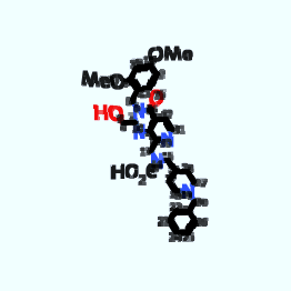 COc1ccc(Cn2c(CO)nc3c(CN(CC4CCN(Cc5ccccc5)CC4)C(=O)O)nccc3c2=O)c(OC)c1